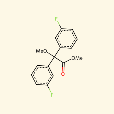 COC(=O)C(OC)(c1cccc(F)c1)c1cccc(F)c1